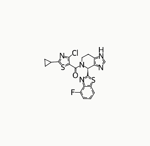 O=C(c1sc(C2CC2)nc1Cl)N1CCc2[nH]cnc2[C@H]1c1nc2c(F)cccc2s1